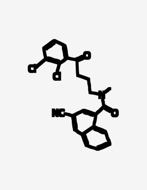 CN(CCCC(=O)c1cccc(Cl)c1Cl)C(=O)c1cc(C#N)cc2ccccc12